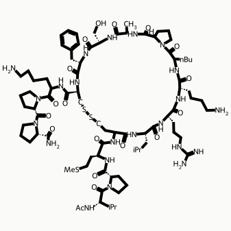 CCCCC1NC(=O)[C@H](CCCCN)NC(=O)[C@H](CCCNC(=N)N)NC(=O)[C@H](CC(C)C)NC(=O)C(NC(=O)[C@H](CCSC)NC(=O)[C@@H]2CCCN2C(=O)[C@@H](NC(C)=O)C(C)C)CCSSC[C@@H](C(=O)NC(CCCCN)C(=O)N2CCC[C@H]2C(=O)N2CCC[C@H]2C(N)=O)NC(=O)[C@H](Cc2ccccc2)NC(=O)[C@H](CO)NC(=O)C(C)NC(=O)[C@@H]2CCCN2C1=O